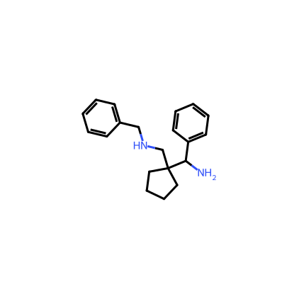 NC(c1ccccc1)C1(CNCc2ccccc2)CCCC1